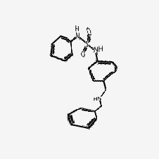 O=S(=O)(Nc1ccccc1)Nc1ccc(CNCc2ccccc2)cc1